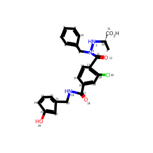 C[C@H](NN(Cc1ccccc1)C(=O)c1ccc(C(=O)NCc2cccc(O)c2)cc1Cl)C(=O)O